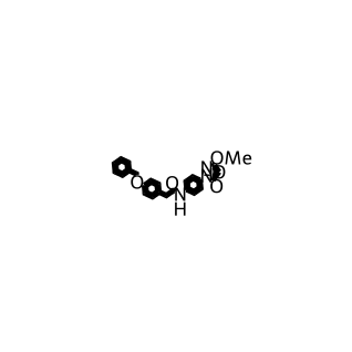 COc1nn(-c2ccc(NC(=O)Cc3ccc(OCc4ccccc4)cc3)cc2)c(=O)o1